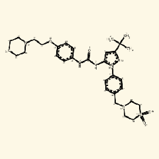 CC(C)(C)c1cc(NC(=O)Nc2ccc(OCCN3CCOCC3)cc2)n(-c2ccc(CN3CCS(=O)(=O)CC3)cc2)n1